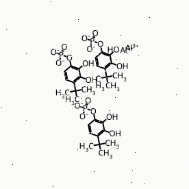 CC(C)(C)c1ccc(OP(=O)([O-])[O-])c(O)c1O.CC(C)(C)c1ccc(OP(=O)([O-])[O-])c(O)c1O.CC(C)(C)c1ccc(OP(=O)([O-])[O-])c(O)c1O.[Al+3].[Al+3]